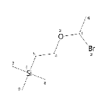 CC(Br)OCC[Si](C)(C)C